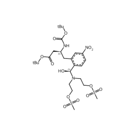 CC(C)(C)OC(=O)C[C@H](Cc1cc([N+](=O)[O-])ccc1[C@H](O)N(CCOS(C)(=O)=O)CCOS(C)(=O)=O)NC(=O)OC(C)(C)C